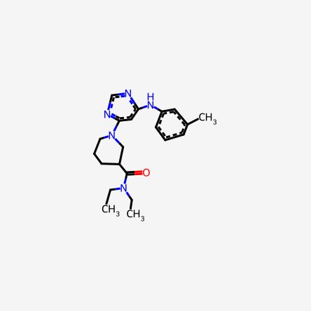 CCN(CC)C(=O)C1CCCN(c2cc(Nc3cccc(C)c3)ncn2)C1